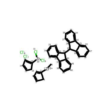 [CH3][Zr+2][C]1=CC=CC1.[Cl-].[Cl-].[Cl][Zr]([Cl])[C]1=CC=CC1.c1ccc2c(c1)-c1ccccc1C2C1c2ccccc2-c2ccccc21